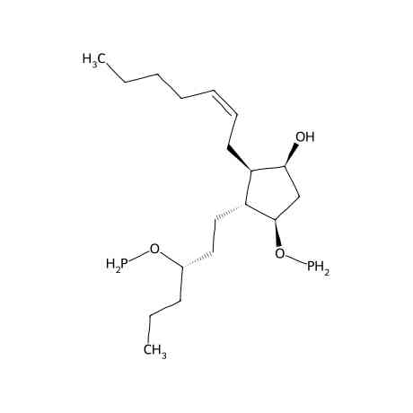 CCCC/C=C\C[C@@H]1[C@@H](CC[C@H](CCC)OP)[C@H](OP)C[C@@H]1O